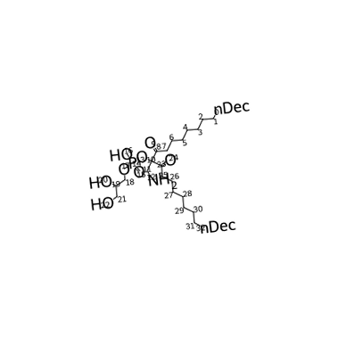 CCCCCCCCCCCCCCCCCC(=O)C(CN)(OP(=O)(O)OCC(O)CO)C(=O)CCCCCCCCCCCCCCCCC